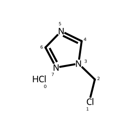 Cl.ClCn1cncn1